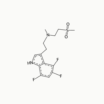 CN(CCc1c[nH]c2c(F)cc(F)c(F)c12)CCS(C)(=O)=O